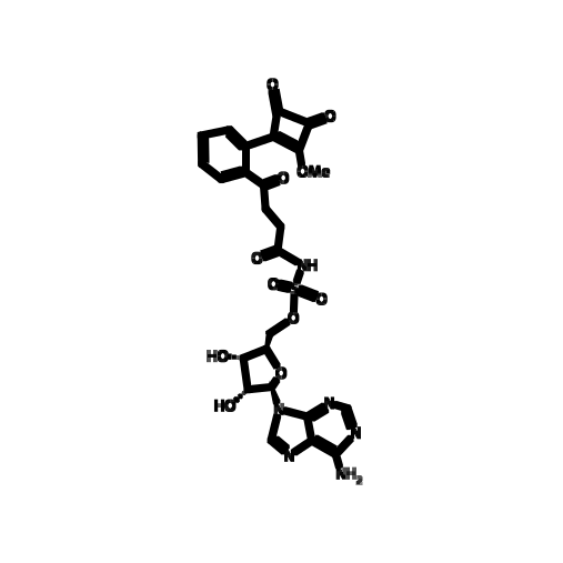 COc1c(-c2ccccc2C(=O)CCC(=O)NS(=O)(=O)OC[C@H]2O[C@@H](n3cnc4c(N)ncnc43)[C@H](O)[C@@H]2O)c(=O)c1=O